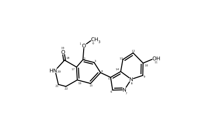 COc1cc(-c2cnn3cc(O)ccc23)cc2c1C(=O)NCC2